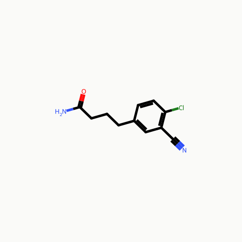 N#Cc1cc(CCCC(N)=O)ccc1Cl